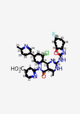 CC1=C(C(=O)Nc2cc(C(=O)O)ccn2)C(c2ccc(-c3ccc(C)nc3)cc2Cl)N=C(Nc2nc3ccc(F)cc3o2)N1